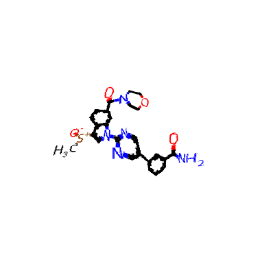 C[S+]([O-])c1cn(-c2ncc(-c3cccc(C(N)=O)c3)cn2)c2cc(C(=O)N3CCOCC3)ccc12